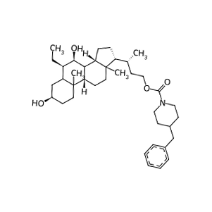 CC[C@@H]1C2C[C@H](O)CCC2(C)[C@H]2CCC3(C)[C@@H]([C@H](C)CCOC(=O)N4CCC(Cc5ccccc5)CC4)CC[C@H]3C2[C@@H]1O